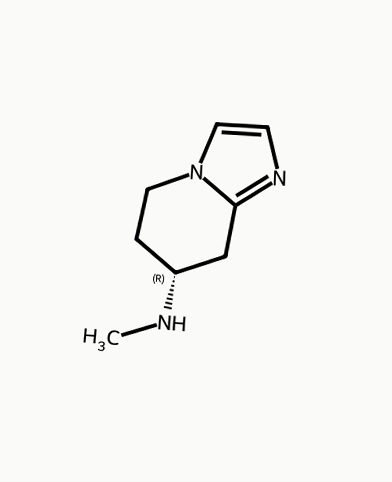 CN[C@@H]1CCn2ccnc2C1